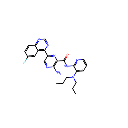 CCCN(CCC)c1cccnc1NC(=O)c1nc(-c2ncnc3ccc(F)cc23)cnc1N